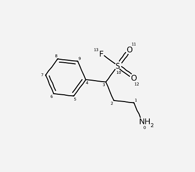 NCCC(c1ccccc1)S(=O)(=O)F